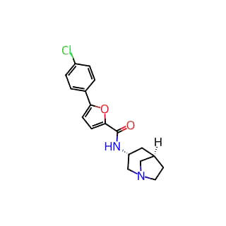 O=C(N[C@@H]1C[C@H]2CCN(C2)C1)c1ccc(-c2ccc(Cl)cc2)o1